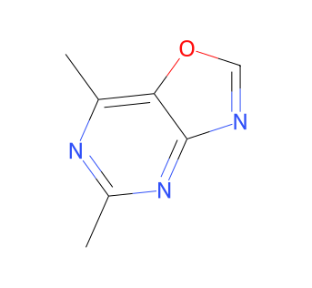 Cc1nc(C)c2ocnc2n1